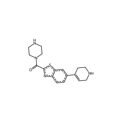 O=C(c1nc2ccc(C3=CCNCC3)cc2s1)N1CCNCC1